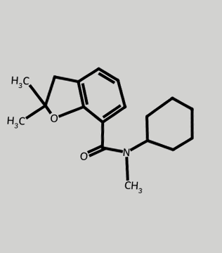 CN(C(=O)c1cccc2c1OC(C)(C)C2)C1CCCCC1